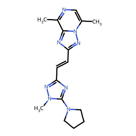 Cc1ncc(C)n2nc(/C=C/c3nc(N4CCCC4)n(C)n3)nc12